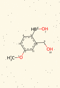 COc1ccc(BO)c(CO)c1